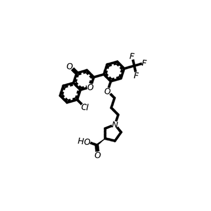 O=C(O)[C@@H]1CCN(CCCOc2cc(C(F)(F)F)ccc2-c2cc(=O)c3cccc(Cl)c3o2)C1